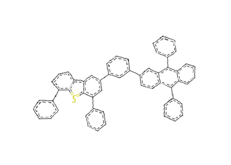 c1ccc(-c2c3ccccc3c(-c3ccccc3)c3cc(-c4cccc(-c5cc(-c6ccccc6)c6sc7c(-c8ccccc8)cccc7c6c5)c4)ccc23)cc1